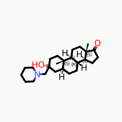 C[C@]12CC[C@](O)(CN3CCCCC3)C[C@@H]1CC[C@@H]1[C@@H]2CC[C@]2(C)C(=O)CC[C@@H]12